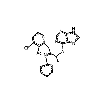 CC(=O)c1c(Cl)cccc1C/C(=N/c1ccccc1)[C@H](C)Nc1ncnc2[nH]cnc12